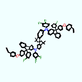 C=Cc1ccc(Oc2ccc(C3(c4cccc(F)c4)c4ccccc4-c4ccc(N(c5ccc(F)c(F)c5)c5ccc6c(c5)C5(CC6(C)C)CC(C)(C)c6ccc(N(c7ccc(F)c(F)c7)c7ccc8c(c7)C(c7ccc(Oc9ccc(C=C)cc9)cc7)(c7cccc(F)c7)c7ccccc7-8)cc65)cc43)cc2)cc1